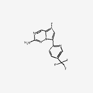 Nc1ncc2c(F)cc(-c3ccc(C(F)(F)F)cn3)n2n1